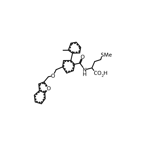 CSCCC(NC(=O)c1ccc(COCc2cc3ccccc3o2)cc1-c1ccccc1C)C(=O)O